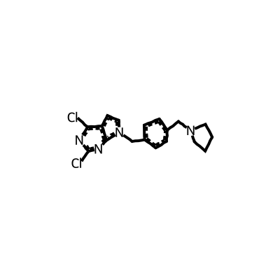 Clc1nc(Cl)c2ccn(Cc3ccc(CN4CCCC4)cc3)c2n1